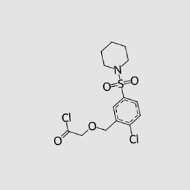 O=C(Cl)COCc1cc(S(=O)(=O)N2CCCCC2)ccc1Cl